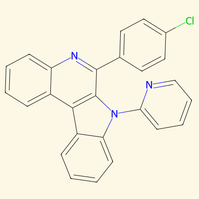 Clc1ccc(-c2nc3ccccc3c3c4ccccc4n(-c4ccccn4)c23)cc1